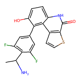 CC(N)c1c(F)cc(-c2c(O)ccc3[nH]c(=O)c4sccc4c23)cc1F